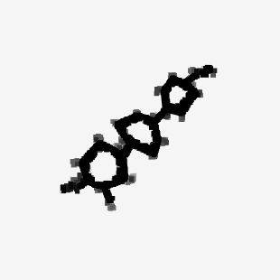 CCCc1ccc(-c2ccc(-c3ccc(CCC)c(F)c3)cc2)cc1